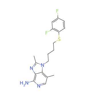 Cc1cnc(N)c2nc(C)n(CCCCSc3ccc(F)cc3F)c12